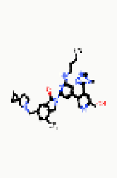 Cn1cnnc1-c1cc(CO)ncc1-c1cc(NCCCC#N)nc(N2Cc3c(cc(CN4CCC5(CC5)C4)cc3C(F)(F)F)C2=O)c1